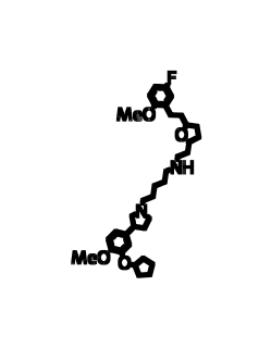 COc1ccc(F)cc1CCC1CCC(CCNCCCCCN2CCC(c3ccc(OC)c(OC4CCCC4)c3)C2)O1